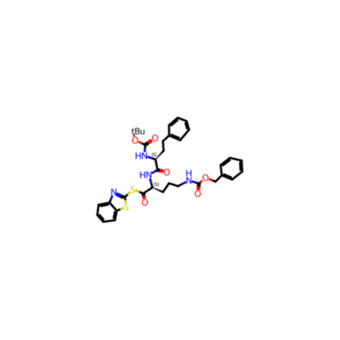 CC(C)(C)OC(=O)N[C@@H](CCc1ccccc1)C(=O)N[C@@H](CCCNC(=O)OCc1ccccc1)C(=O)Sc1nc2ccccc2s1